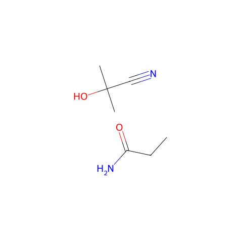 CC(C)(O)C#N.CCC(N)=O